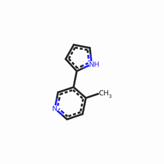 Cc1ccncc1-c1ccc[nH]1